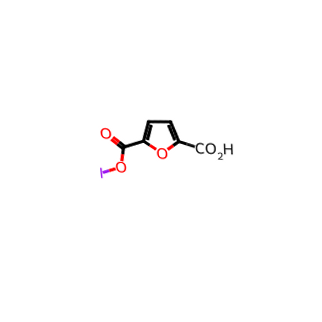 O=C(O)c1ccc(C(=O)OI)o1